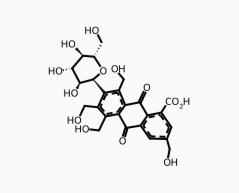 O=C(O)c1cc(CO)cc2c1C(=O)c1c(CO)c([C@@H]3O[C@@H](CO)[C@H](O)[C@@H](O)[C@@H]3O)c(CO)c(CO)c1C2=O